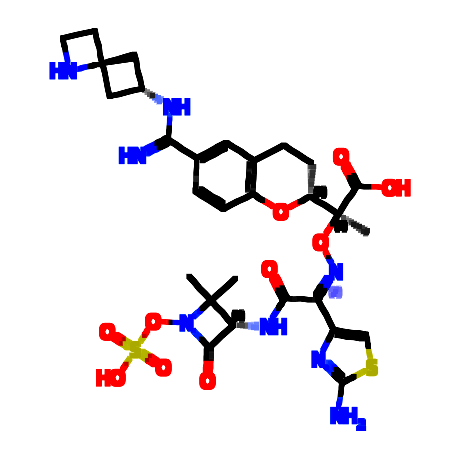 CC1(C)[C@H](NC(=O)/C(=N\O[C@](C)(C(=O)O)[C@H]2CCc3cc(C(=N)N[C@H]4C[C@@]5(CCN5)C4)ccc3O2)c2csc(N)n2)C(=O)N1OS(=O)(=O)O